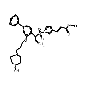 C=CC(c1ccc(-c2ccccc2)cc1OCCCN1CCN(C)CC1)S(=O)(=O)n1ccc(/C=C/C(=O)NO)c1